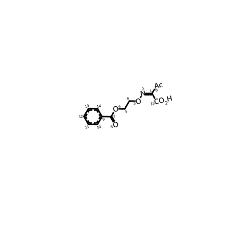 CC(=O)C(=NOCCOC(=O)c1ccccc1)C(=O)O